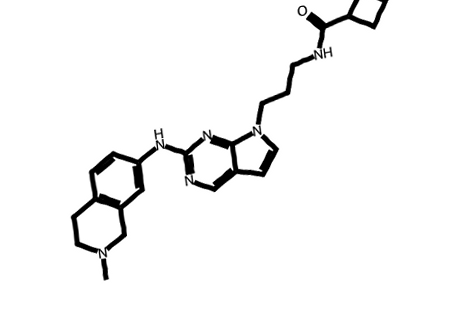 CN1CCc2ccc(Nc3ncc4ccn(CCCNC(=O)C5CCC5)c4n3)cc2C1